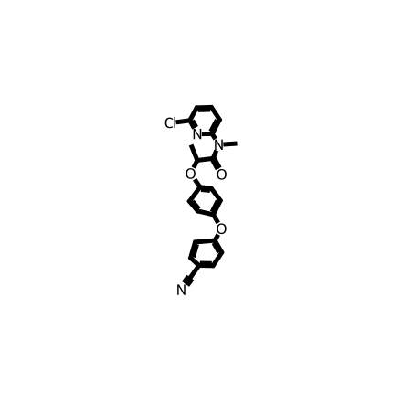 CC(Oc1ccc(Oc2ccc(C#N)cc2)cc1)C(=O)N(C)c1cccc(Cl)n1